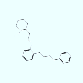 CN1CCCCC1CCOc1ccccc1CCCCc1ccccc1